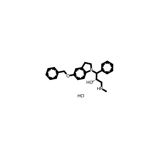 CNC[C@H](O)C(c1ccccc1)N1CCc2cc(OCc3ccccc3)ccc21.Cl